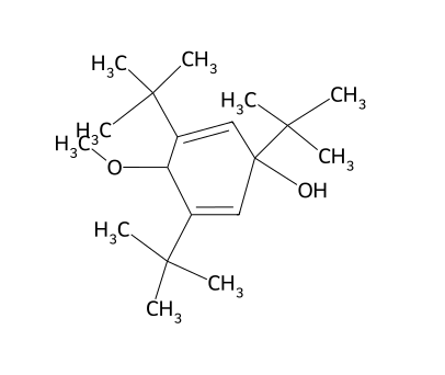 COC1C(C(C)(C)C)=CC(O)(C(C)(C)C)C=C1C(C)(C)C